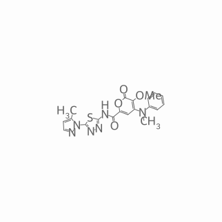 COc1c(N(C)c2ccccc2)cc(C(=O)Nc2nnc(-n3nccc3C)s2)oc1=O